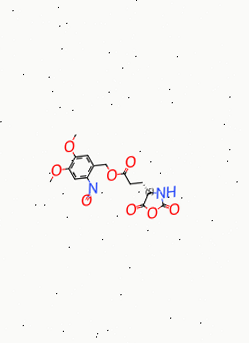 COc1cc(COC(=O)CC[C@@H]2NC(=O)OC2=O)c(N=O)cc1OC